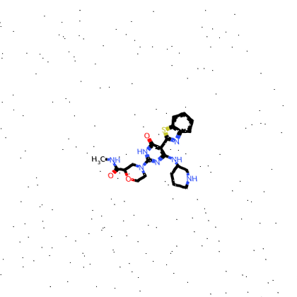 CNC(=O)C1CN(c2nc(NC3CCCNC3)c(-c3nc4ccccc4s3)c(=O)[nH]2)CCO1